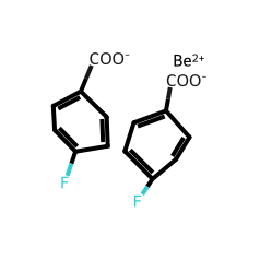 O=C([O-])c1ccc(F)cc1.O=C([O-])c1ccc(F)cc1.[Be+2]